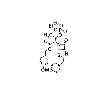 CCOP(=O)(OCC)OC(C)=C(C(=O)OCc1ccc(OC)cc1)N1C(=O)C2N=C(Cc3ccccc3)SC21